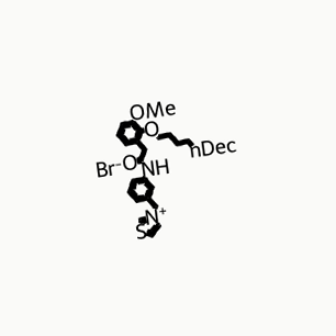 CCCCCCCCCCCCCCOc1c(CC(=O)Nc2cccc(C[n+]3ccsc3)c2)cccc1OC.[Br-]